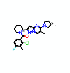 Cc1cn2nc([C@@H]3CCCCN3C(=O)c3ccc(F)c(C)c3Cl)cc2nc1N1CC[C@H](C)C1